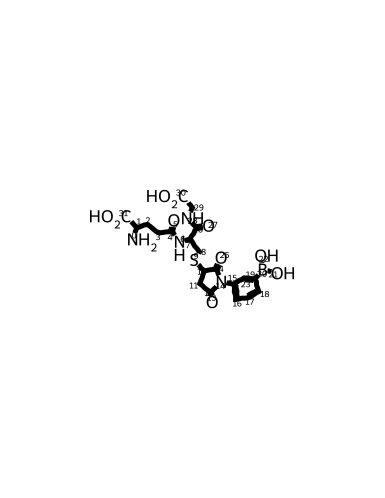 NC(CCC(=O)NC(CSC1CC(=O)N(c2cccc(B(O)O)c2)C1=O)C(=O)NCC(=O)O)C(=O)O